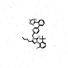 CCCCc1cn(-c2c(F)cccc2C(C)(C)C)c(=O)n1Cc1ccc(-c2ccccc2-c2nnn[nH]2)cn1